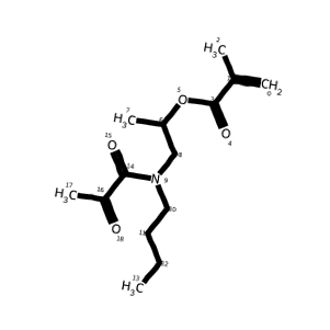 C=C(C)C(=O)OC(C)CN(CCCC)C(=O)C(C)=O